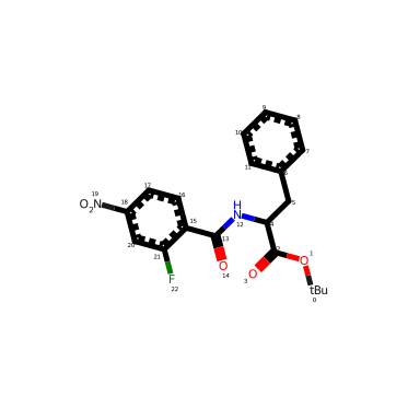 CC(C)(C)OC(=O)C(Cc1ccccc1)NC(=O)c1ccc([N+](=O)[O-])cc1F